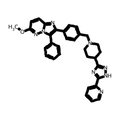 COc1ccc2nc(-c3ccc(CN4CCC(c5n[nH]c(-c6ccccn6)n5)CC4)cc3)c(-c3ccccc3)n2n1